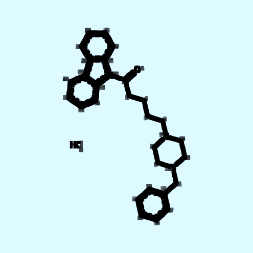 Cl.O=C(CCCCN1CCN(Cc2ccccc2)CC1)n1c2ccccc2c2ccccc21